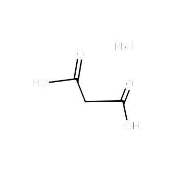 O=C(O)CC(=O)O.[RbH]